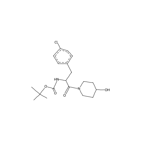 CC(C)(C)OC(=O)NC(Cc1ccc(Cl)cc1)C(=O)N1CCC(O)CC1